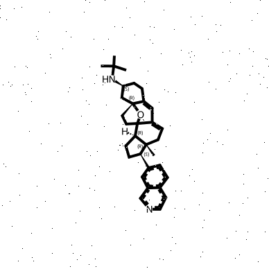 CC(C)(C)N[C@H]1CCC2=CC3=CC[C@]4(C)[C@@H](c5ccc6ccncc6c5)CC[C@H]4C34CC[C@]2(C1)O4